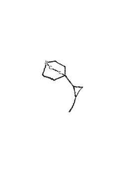 CC1CC1C12CCN(CC1)CC2